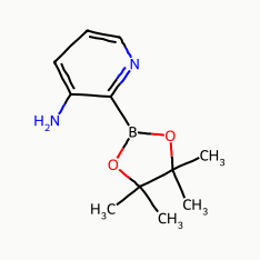 CC1(C)OB(c2ncccc2N)OC1(C)C